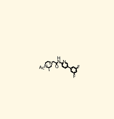 CC(=O)N1CCN(CC(=O)Nc2ccc(-c3cc(F)cc(F)c3)cn2)C[C@H]1C